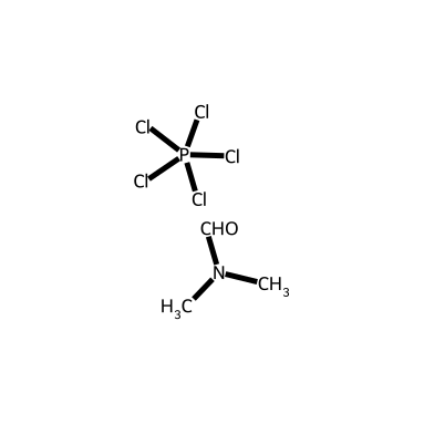 CN(C)C=O.ClP(Cl)(Cl)(Cl)Cl